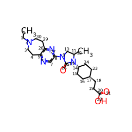 CCN1CCc2ncc(N3CC(C)N([C@H]4CC[C@H](CCC(=O)O)CC4)C3=O)nc2CC1